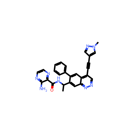 CC(NC(=O)c1nccnc1N)c1cc2nncc(C#Cc3cnn(C)c3)c2cc1-c1ccccc1